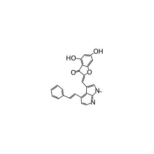 Cn1cc(C=C2Oc3cc(O)cc(O)c3C2=O)c2c(C=Cc3ccccc3)ccnc21